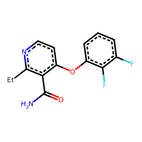 CCc1nccc(Oc2cccc(F)c2F)c1C(N)=O